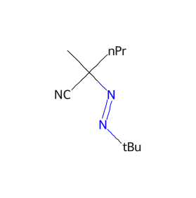 CCCC(C)(C#N)N=NC(C)(C)C